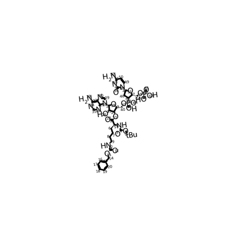 CC(C)(C)OC(=O)N[C@@H](CCCCNC(=O)OCc1ccccc1)C(=O)O[C@H]1[C@@H](O)[C@H](n2cnc3c(N)ncnc32)O[C@@H]1COP(=O)(O)[C@H]1C[C@H](n2ccc(N)nc2=O)O[C@@H]1COP(=O)(O)O